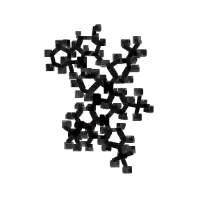 Cc1cc(C)c2c(c1)C1(C)CCCCC1(C)N2c1ccc2c(c1)N(c1ccc(C(C)(C)C)cc1)c1cc(C(C)(C)C)cc3c1B2c1ccc(C(C)(C)C)cc1N3c1ccc(C(C)(C)C)cc1-c1ccccc1